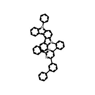 c1ccc(-c2cccc(-c3cc(-c4ccccc4-n4c5ccccc5c5c6c7ccccc7n(-c7ccccc7)c6ccc54)nc(-c4ccccc4)n3)c2)cc1